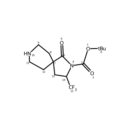 CC(C)(C)OC(=O)N1C(=O)C2(CCNCC2)CC1C(F)(F)F